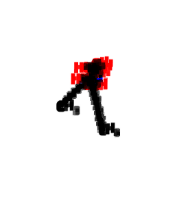 CCCCCCCCCCC/C=C/[C@@H](O)[C@H](CO[C@@H]1O[C@H](CO)[C@@H](O)C(O)C1O)NC(=O)C(O)CCCCCCCCCCCCCCCCCC